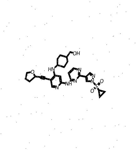 O=S(=O)(C1CC1)n1cc(-c2nccc(Nc3cc(NC4CCC(CO)CC4)c(C#CC4CCCO4)cn3)n2)cn1